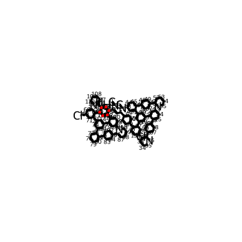 C=N/C(=C\C(=N/C)c1ccc(-c2ccc(Cl)cc2-c2cc(-c3ccccc3-c3ccc(-c4ccccn4)cc3)cc(-c3ccccc3-c3ccc(-c4ccccn4)cc3)c2)cc1)c1ccc(-c2ccc(Cl)cc2-c2cc(-c3ccccc3-c3ccc(-c4ccccn4)cc3)cc(-c3ccccc3-c3ccc(-c4ccccn4)cc3)c2)cc1